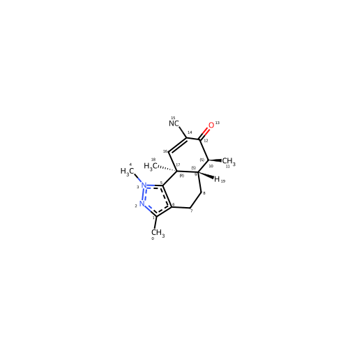 Cc1nn(C)c2c1CC[C@H]1[C@H](C)C(=O)C(C#N)=C[C@]21C